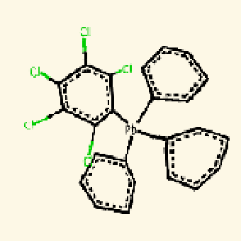 Clc1c(Cl)c(Cl)[c]([Pb]([c]2ccccc2)([c]2ccccc2)[c]2ccccc2)c(Cl)c1Cl